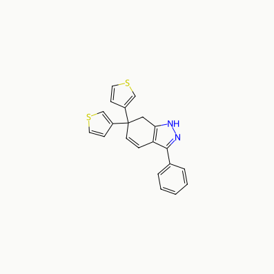 C1=CC(c2ccsc2)(c2ccsc2)Cc2[nH]nc(-c3ccccc3)c21